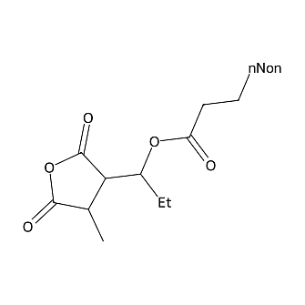 CCCCCCCCCCCC(=O)OC(CC)C1C(=O)OC(=O)C1C